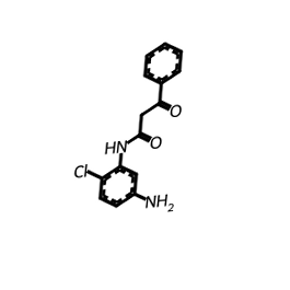 Nc1ccc(Cl)c(NC(=O)CC(=O)c2ccccc2)c1